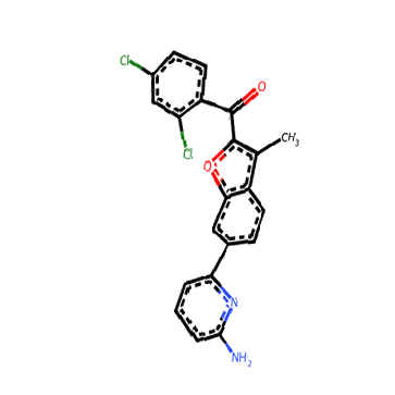 Cc1c(C(=O)c2ccc(Cl)cc2Cl)oc2cc(-c3cccc(N)n3)ccc12